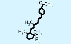 CC(=O)c1ccc(/C=C/C=C(C)/C=C/C2=C(C)CCCC2(C)C)cc1